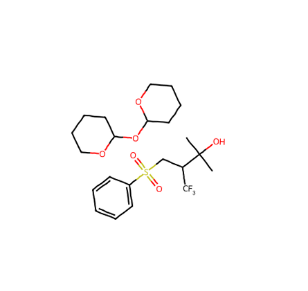 C1CCC(OC2CCCCO2)OC1.CC(C)(O)C(CS(=O)(=O)c1ccccc1)C(F)(F)F